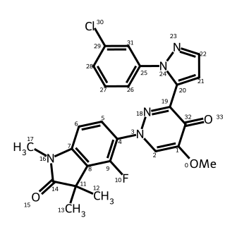 COc1cn(-c2ccc3c(c2F)C(C)(C)C(=O)N3C)nc(-c2ccnn2-c2cccc(Cl)c2)c1=O